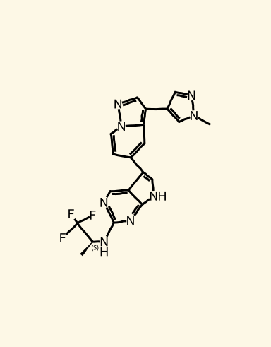 C[C@H](Nc1ncc2c(-c3ccn4ncc(-c5cnn(C)c5)c4c3)c[nH]c2n1)C(F)(F)F